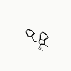 FC(F)(F)c1c(I)c2ccccc2n1Cc1ccccc1